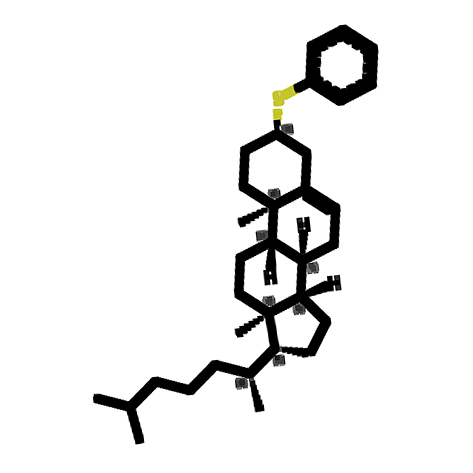 CC(C)CCC[C@@H](C)[C@H]1CC[C@H]2[C@@H]3CC=C4C[C@@H](Sc5ccccc5)CC[C@]4(C)[C@H]3CC[C@]12C